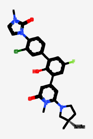 CC(=O)N[C@@]1(C)CCN(c2cc(-c3cc(F)cc(-c4ccc(-n5ccn(C)c5=O)c(Cl)c4)c3O)cc(=O)n2C)C1